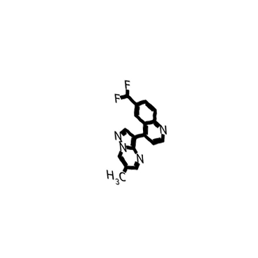 Cc1cnc2c(-c3ccnc4ccc(C(F)F)cc34)cnn2c1